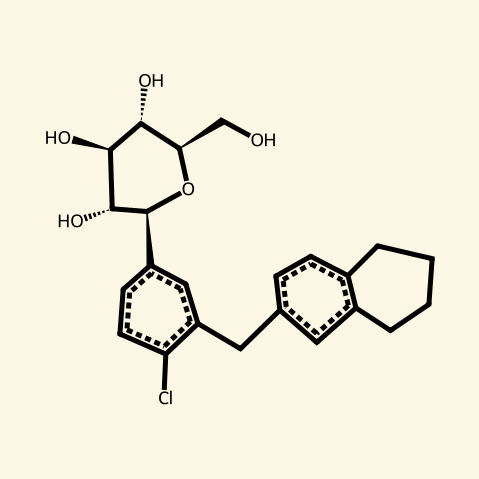 OC[C@H]1O[C@@H](c2ccc(Cl)c(Cc3ccc4c(c3)CCCC4)c2)[C@H](O)[C@@H](O)[C@@H]1O